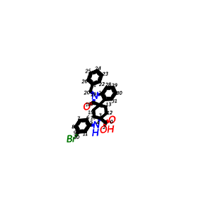 O=C(O)C1(Nc2cccc(Br)c2)CCC2(CC1)C(=O)N(Cc1ccccc1)c1ccccc12